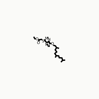 CCOC(=O)CSc1ncnc2c(OCCC(C)CCCC(C)CCCC(C)C)n(C)nc12